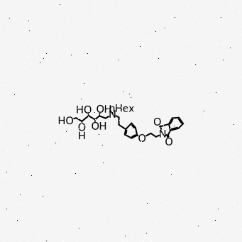 CCCCCCN(CCc1ccc(OCCN2C(=O)c3ccccc3C2=O)cc1)C[C@H](O)[C@@H](O)[C@H](O)[C@H](O)CO